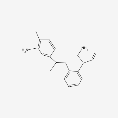 C=CC(CN)c1ccccc1CC(C)c1ccc(C)c(N)c1